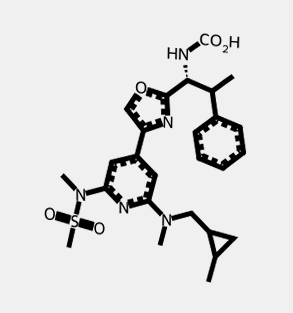 CC1CC1CN(C)c1cc(-c2coc([C@H](NC(=O)O)C(C)c3ccccc3)n2)cc(N(C)S(C)(=O)=O)n1